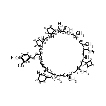 CC(C)C[C@H]1CN[C@@H](C2CCC2)CN(C)CCN(C)CCN(C)[C@@H](CC2CCCCC2)CN(C)CCN[C@@H](CCc2ccc(C(F)(F)F)c(Cl)c2)CN2CCC[C@H]2CNC2(CCCC2)CN(C)[C@@H](C(C)C)CN[C@H](C)CCN1C